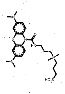 CN(C)c1ccc2c(c1)Sc1cc(N(C)C)ccc1N2C(=O)NCCC[N+](C)(C)CCCS(=O)(=O)O